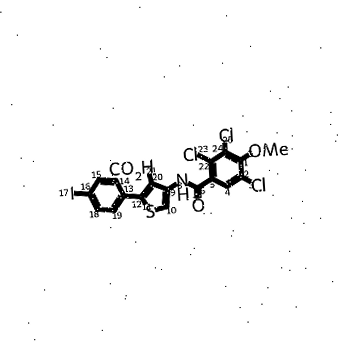 COc1c(Cl)cc(C(=O)Nc2csc(-c3ccc(I)cc3)c2C(=O)O)c(Cl)c1Cl